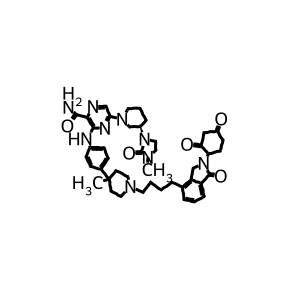 CN1CCN([C@@H]2CCCN(c3cnc(C(N)=O)c(Nc4ccc(C5(C)CCN(CCCCc6cccc7c6CN(C6CCC(=O)CC6=O)C7=O)CC5)cc4)n3)C2)C1=O